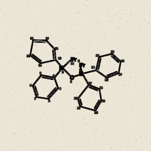 CC(C)[Si](O[Si](c1ccccc1)(c1ccccc1)C(C)C)(c1ccccc1)c1ccccc1